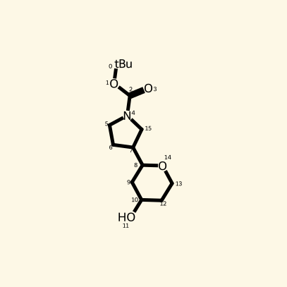 CC(C)(C)OC(=O)N1CCC(C2CC(O)CCO2)C1